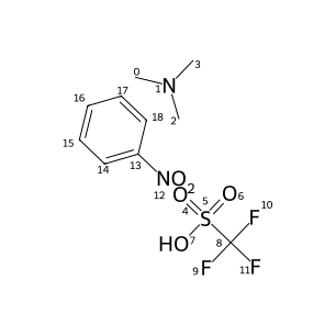 CN(C)C.O=S(=O)(O)C(F)(F)F.O=[N+]([O-])c1ccccc1